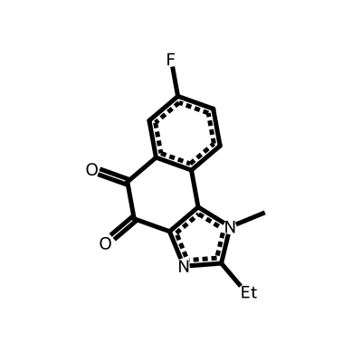 CCc1nc2c(n1C)-c1ccc(F)cc1C(=O)C2=O